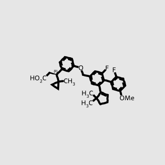 COc1ccc(F)c(-c2c(F)cc(COc3cccc([C@H](CC(=O)O)C4(C)CC4)c3)cc2C2=CCCC2(C)C)c1